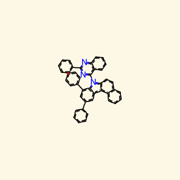 c1ccc(-c2cc(-c3ccccc3)c3c(c2)c2c4ccccc4ccc2n3-c2nc(-c3ccccc3)nc3ccccc23)cc1